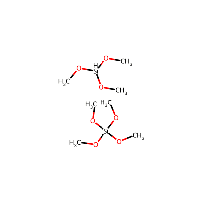 CO[SiH](OC)OC.CO[Si](OC)(OC)OC